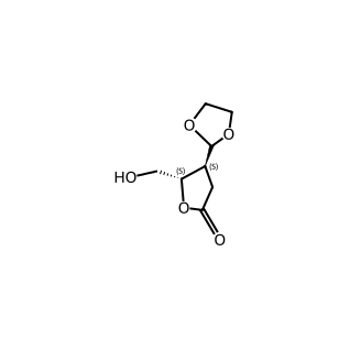 O=C1C[C@H](C2OCCO2)[C@@H](CO)O1